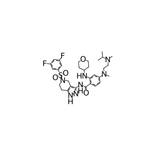 CC(C)N(C)CCN(C)c1ccc(C(=O)Nc2n[nH]c3c2CN(S(=O)(=O)c2cc(F)cc(F)c2)CC3)c(NC2CCOCC2)c1